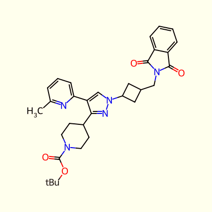 Cc1cccc(-c2cn(C3CC(CN4C(=O)c5ccccc5C4=O)C3)nc2C2CCN(C(=O)OC(C)(C)C)CC2)n1